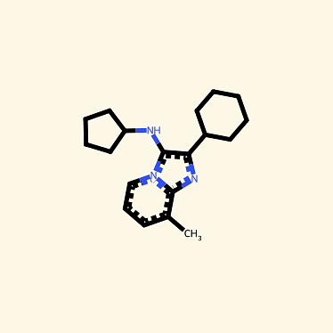 Cc1cccn2c(NC3CCCC3)c(C3CCCCC3)nc12